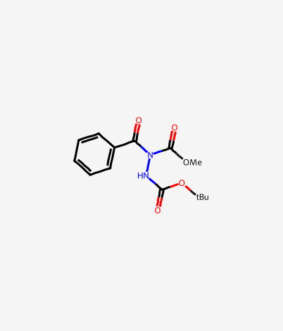 COC(=O)N(NC(=O)OC(C)(C)C)C(=O)c1ccccc1